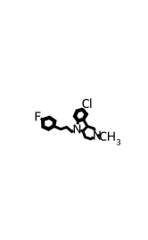 CN1CCC2C(C1)c1cc(Cl)ccc1N2CCCc1ccc(F)cc1